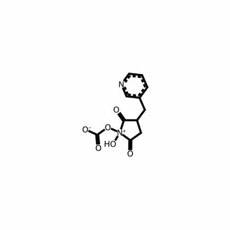 O=C([O-])O[N+]1(O)C(=O)CC(Cc2cccnc2)C1=O